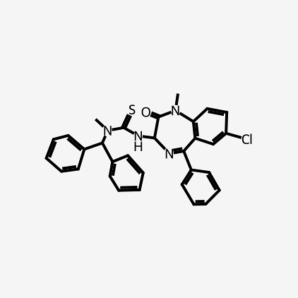 CN1C(=O)C(NC(=S)N(C)C(c2ccccc2)c2ccccc2)N=C(c2ccccc2)c2cc(Cl)ccc21